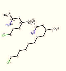 N[C@@H](CC(CCCCCCCCCl)C(=O)O)C(=O)O.N[C@H](CC(CCCCl)C(=O)O)C(=O)O